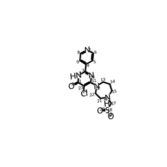 O=c1[nH]c(-c2ccncc2)nc(N2CCCN(C[SH](=O)=O)CC2)c1Cl